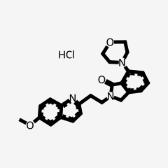 COc1ccc2nc(CCN3Cc4cccc(N5CCOCC5)c4C3=O)ccc2c1.Cl